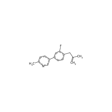 C=C(C)Cc1ccc(-c2ccc(C)nc2)cc1F